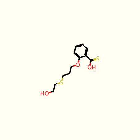 OCCSCCCOc1ccccc1C(O)=S